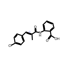 C/C(=C\c1ccc(Cl)cc1)C(=O)Nc1ccccc1C(=O)O